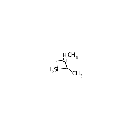 CC1[SiH2]C[SiH]1C